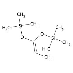 CC=C(O[Si](C)(C)C)O[Si](C)(C)C